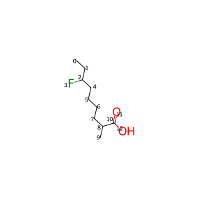 CCC(F)CCCCC(C)C(=O)O